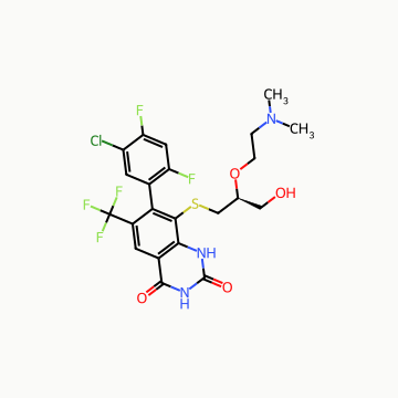 CN(C)CCO[C@@H](CO)CSc1c(-c2cc(Cl)c(F)cc2F)c(C(F)(F)F)cc2c(=O)[nH]c(=O)[nH]c12